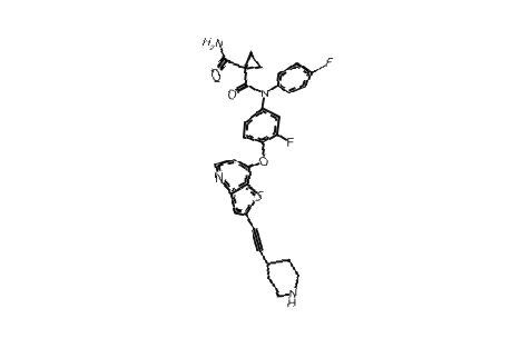 NC(=O)C1(C(=O)N(c2ccc(F)cc2)c2ccc(Oc3ccnc4cc(C#CC5CCNCC5)sc34)c(F)c2)CC1